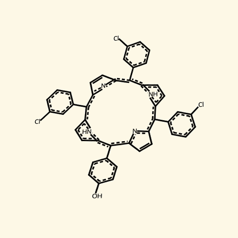 Oc1ccc(-c2c3nc(c(-c4cccc(Cl)c4)c4ccc([nH]4)c(-c4cccc(Cl)c4)c4nc(c(-c5cccc(Cl)c5)c5ccc2[nH]5)C=C4)C=C3)cc1